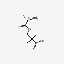 C[C@H](N)C(=O)OCC(C)(C)C(=O)O